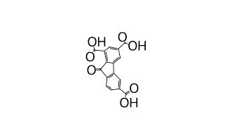 O=C(O)c1ccc2c(c1)-c1cc(C(=O)O)cc(C(=O)O)c1C2=O